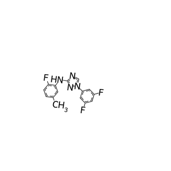 Cc1ccc(F)c(Nc2ncn(-c3cc(F)cc(F)c3)n2)c1